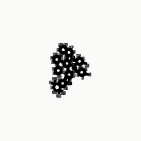 Cc1ccc(N2B3c4cc(C)ccc4-n4c5ccc6ccccc6c5c5c(-c6ccccc6-c6ccccc6)cc(c3c54)-c3cc4c(cc32)sc2cc3c(cc24)C(C)(C)CCC3(C)C)cc1